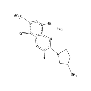 CCn1cc(C(=O)O)c(=O)c2cc(F)c(N3CCC(N)C3)nc21.Cl